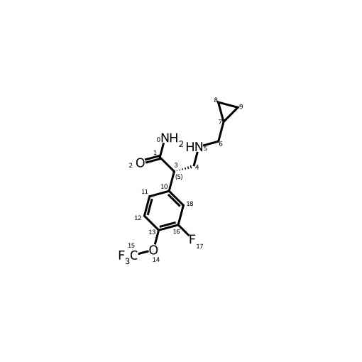 NC(=O)[C@H](CNCC1CC1)c1ccc(OC(F)(F)F)c(F)c1